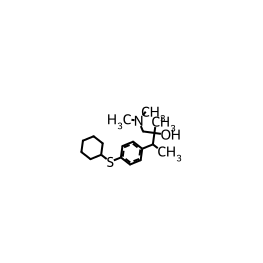 CC(c1ccc(SC2CCCCC2)cc1)C(C)(O)CN(C)C